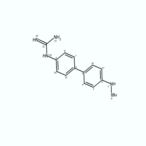 CC(C)(C)Nc1ccc(-c2ccc(NC(=N)N)cc2)cc1